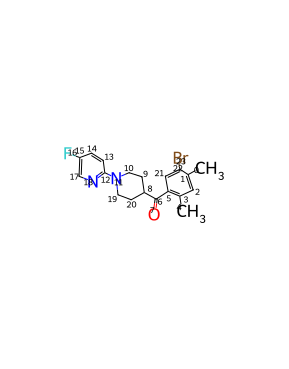 Cc1cc(C)c(C(=O)C2CCN(c3ccc(F)cn3)CC2)cc1Br